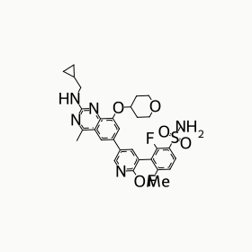 COc1ncc(-c2cc(OC3CCOCC3)c3nc(NCC4CC4)nc(C)c3c2)cc1-c1c(F)ccc(S(N)(=O)=O)c1F